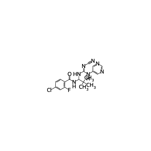 CC(C)(C)C(NC(=O)c1ccc(Cl)cc1F)N/C(=N/C#N)Nc1cncnc1